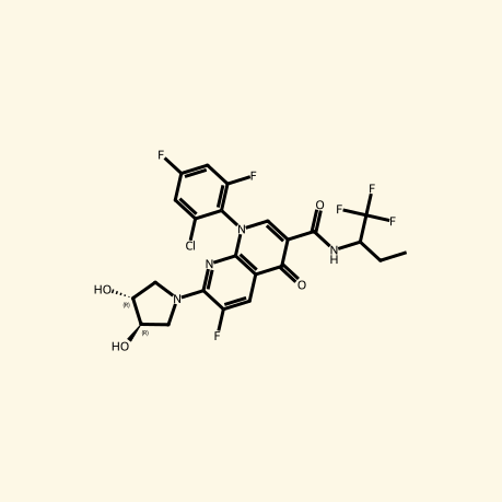 CCC(NC(=O)c1cn(-c2c(F)cc(F)cc2Cl)c2nc(N3C[C@@H](O)[C@H](O)C3)c(F)cc2c1=O)C(F)(F)F